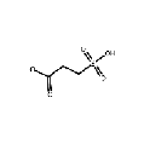 [O]C(=O)CCS(=O)(=O)O